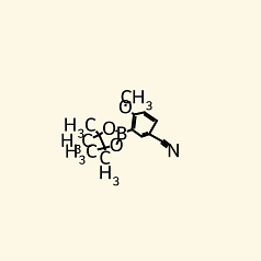 COc1ccc(C#N)cc1B1OC(C)(C)C(C)(C)O1